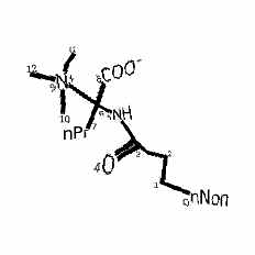 CCCCCCCCCCCC(=O)NC(CCC)(C(=O)[O-])[N+](C)(C)C